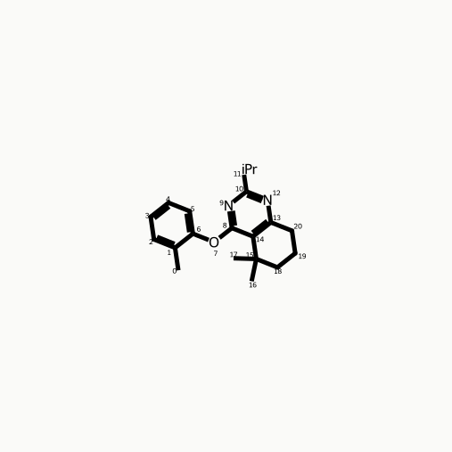 Cc1ccccc1Oc1nc(C(C)C)nc2c1C(C)(C)CCC2